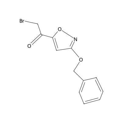 O=C(CBr)c1cc(OCc2ccccc2)no1